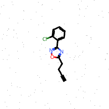 C#CCCc1nc(-c2ccccc2Cl)no1